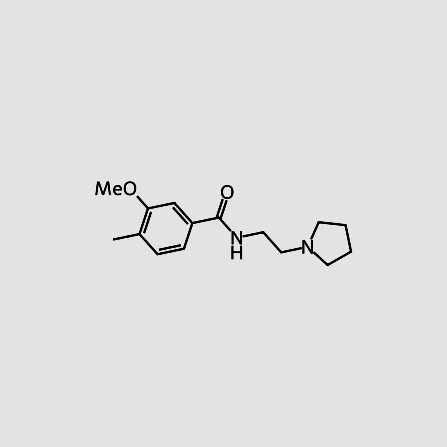 COc1cc(C(=O)NCCN2CCCC2)ccc1C